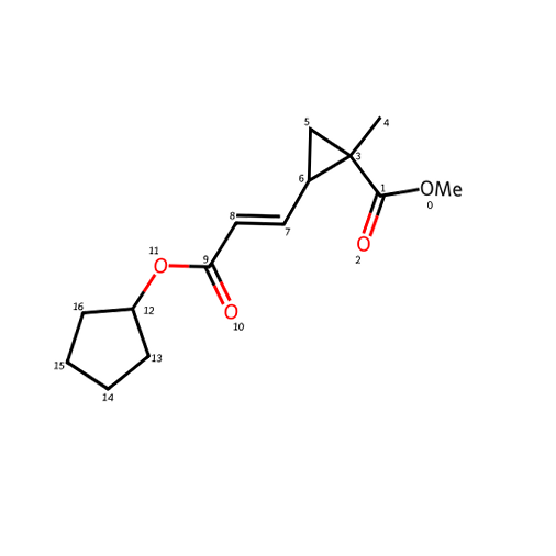 COC(=O)C1(C)CC1C=CC(=O)OC1CCCC1